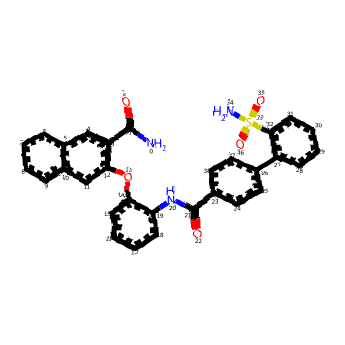 NC(=O)c1cc2ccccc2cc1Oc1ccccc1NC(=O)c1ccc(-c2ccccc2S(N)(=O)=O)cc1